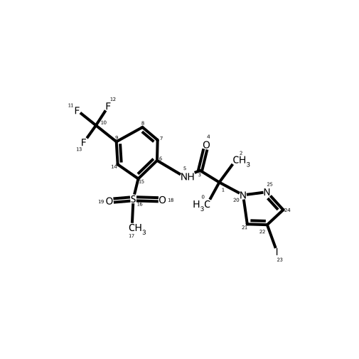 CC(C)(C(=O)Nc1ccc(C(F)(F)F)cc1S(C)(=O)=O)n1cc(I)cn1